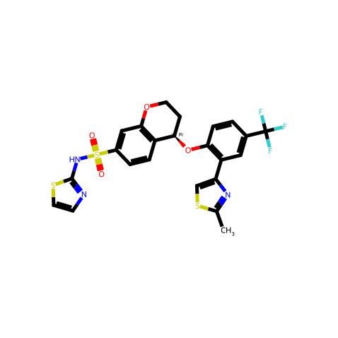 Cc1nc(-c2cc(C(F)(F)F)ccc2O[C@@H]2CCOc3cc(S(=O)(=O)Nc4nccs4)ccc32)cs1